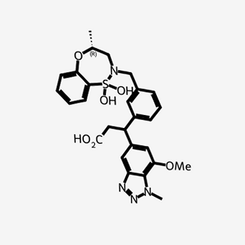 COc1cc(C(CC(=O)O)c2cccc(CN3C[C@@H](C)Oc4ccccc4S3(O)O)c2)cc2nnn(C)c12